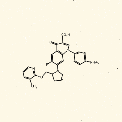 CC(=O)Nc1ccc(-n2cc(C(=O)O)c(=O)c3cc(F)c(N4CCCC4COc4ncccc4C)cc32)cn1